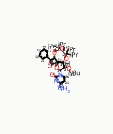 CCCCO[C@@H]1[C@@H]2O[Si](C(C)C)(C(C)C)O[Si](C(C)C)(C(C)C)OC(C(=O)c3ccccc3)[C@H]2O[C@H]1n1ccc(N)nc1=O